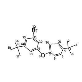 CC(C)(C)c1ccc(Oc2cc(Br)cc(C(C)(C)C)c2)cc1